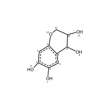 Oc1cc2c(cc1O)C(O)C(O)CO2